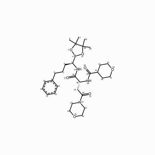 CC1(C)OB([C@H](CCCc2ccccc2)NC(=O)[C@@H](CC(=O)N2CCOCC2)NC(=O)C2CCOCC2)OC1(C)C